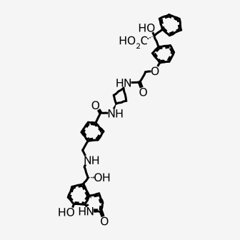 O=C(COc1cccc([C@](O)(C(=O)O)c2ccccc2)c1)N[C@H]1C[C@H](NC(=O)c2ccc(CNC[C@H](O)c3ccc(O)c4[nH]c(=O)ccc34)cc2)C1